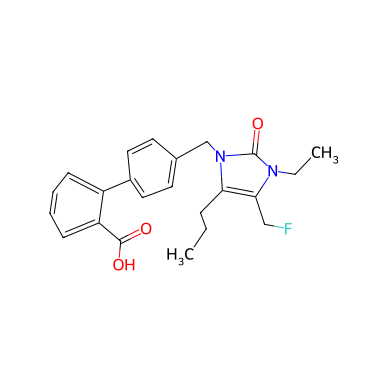 CCCc1c(CF)n(CC)c(=O)n1Cc1ccc(-c2ccccc2C(=O)O)cc1